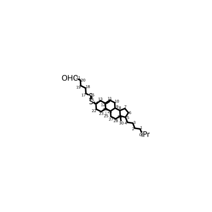 CC(C)CCCCC1CCC2C3CC=C4CC(SSCCCCC=O)CC[C@]4(C)C3CCC12C